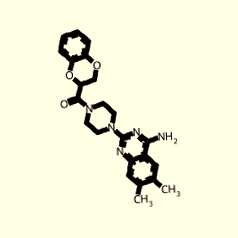 Cc1cc2nc(N3CCN(C(=O)C4COc5ccccc5O4)CC3)nc(N)c2cc1C